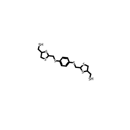 SCC1CSC(CSc2ccc(SCC3SCC(CS)S3)cc2)S1